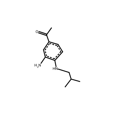 CC(=O)c1ccc(NCC(C)C)c(N)c1